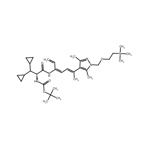 C=C/C(=C\C=C(/C)c1c(C)nn(COCC[Si](C)(C)C)c1C)NC(=O)[C@@H](NC(=O)OC(C)(C)C)C(C1CC1)C1CC1